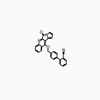 N#Cc1ccccc1-c1ccc(COc2c3c(nc4ccccc24)C(=O)n2cccc2-3)cc1